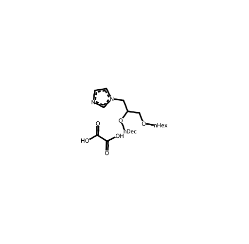 CCCCCCCCCCOC(COCCCCCC)Cn1ccnc1.O=C(O)C(=O)O